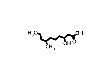 CCCC(C)CCCC(O)CC(=O)O